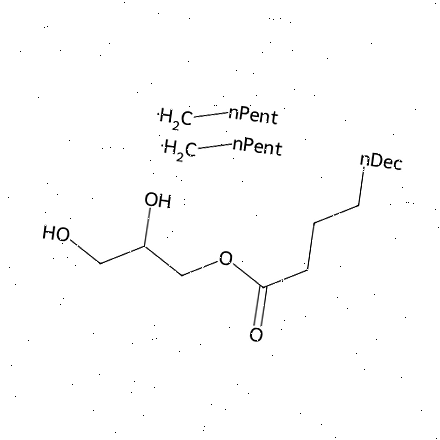 [CH2]CCCCCCCCCCCCC(=O)OCC(O)CO.[CH2]CCCC[CH2].[CH2]CCCC[CH2]